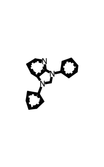 c1ccc(N2CN(c3ccccc3)c3ncccc32)cc1